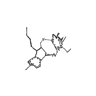 CCCCC1c2cc(C)ccc2C2=Nn3c(CC)nnc3SC21